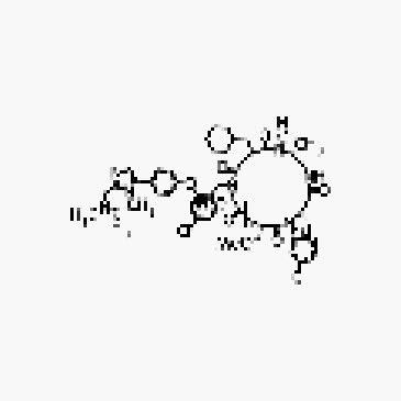 COC[C@@H]1NC(=O)[C@H](C)N(Cc2ccc(Cl)cc2Oc2ccc(-c3cnc(CN(C)C)n3C)cc2)C(=O)C[C@@H](CC2CCCCC2)C(=O)N(C)[C@@H](C)CNC(=O)C[C@H](Cc2ccc(Cl)cc2)N(C)C1=O